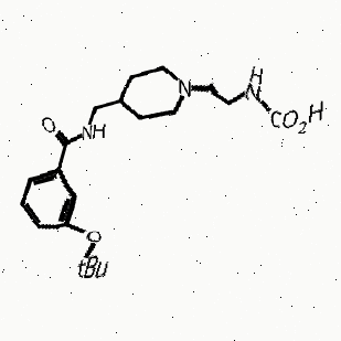 CC(C)(C)Oc1cccc(C(=O)NCC2CCN(CCNC(=O)O)CC2)c1